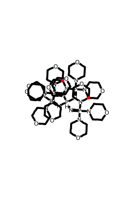 C1CN(P(=N[PH](N=P(N2CCOCC2)(N2CCOCC2)N2CCOCC2)(N=P(N2CCOCC2)(N2CCOCC2)N2CCOCC2)N=P(N2CCOCC2)(N2CCOCC2)N2CCOCC2)(N2CCOCC2)N2CCOCC2)CCO1